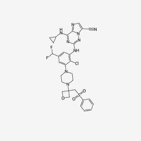 N#Cc1cnc2c(NC3CC3)nc(Nc3cc(C(F)F)cc(N4CCN(C5(CS(=O)(=O)c6ccccc6)COC5)CC4)c3Cl)nn12